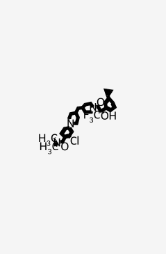 CN(C)C(=O)c1ccc(N2CCC(CC3CCN(C(=O)[C@](O)(c4cccc(C5CC5)c4)C(F)(F)F)CC3)CC2)cc1Cl